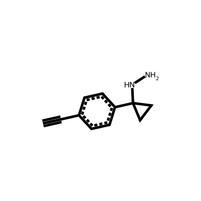 C#Cc1ccc(C2(NN)CC2)cc1